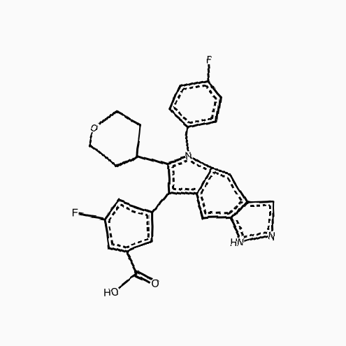 O=C(O)c1cc(F)cc(-c2c(C3CCOCC3)n(-c3ccc(F)cc3)c3cc4cn[nH]c4cc23)c1